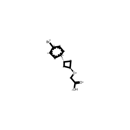 O=C(O)CO[C@H]1C[C@H](c2ccc(Br)cc2)C1